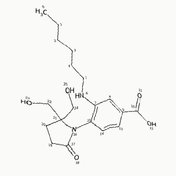 CCCCCCNc1cc(C(=O)O)ccc1N1C(=O)CCC1(CO)CO